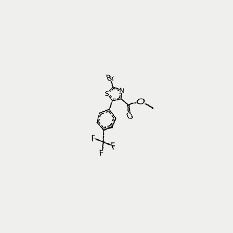 COC(=O)c1nc(Br)sc1-c1ccc(C(F)(F)F)cc1